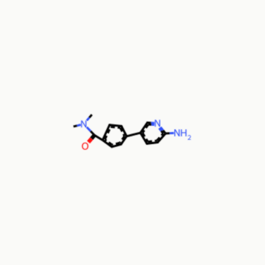 CN(C)C(=O)c1ccc(-c2ccc(N)nc2)cc1